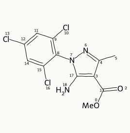 COC(=O)c1c(C)nn(-c2c(Cl)cc(Cl)cc2Cl)c1N